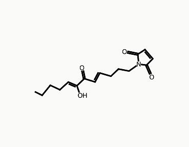 CCCCC=C(O)C(=O)C=CCCCN1C(=O)C=CC1=O